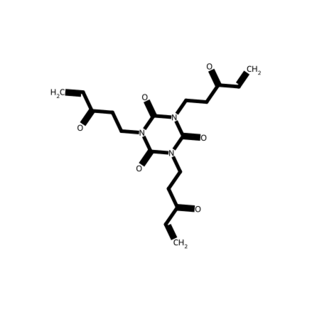 C=CC(=O)CCn1c(=O)n(CCC(=O)C=C)c(=O)n(CCC(=O)C=C)c1=O